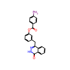 O=C(Oc1cccc(Cc2n[nH]c(=O)c3ccccc23)c1)c1ccc(P)cc1